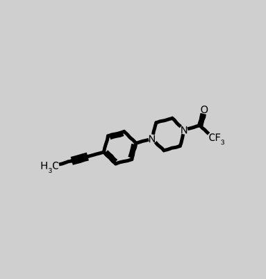 CC#Cc1ccc(N2CCN(C(=O)C(F)(F)F)CC2)cc1